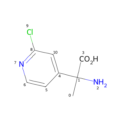 CC(N)(C(=O)O)c1ccnc(Cl)c1